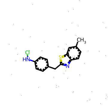 Cc1ccc2nc(Cc3ccc(NCl)cc3)sc2c1